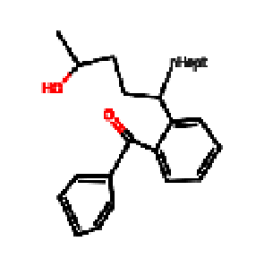 CCCCCCCC(CCC(C)O)c1ccccc1C(=O)c1ccccc1